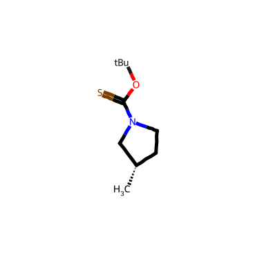 C[C@H]1CCN(C(=S)OC(C)(C)C)C1